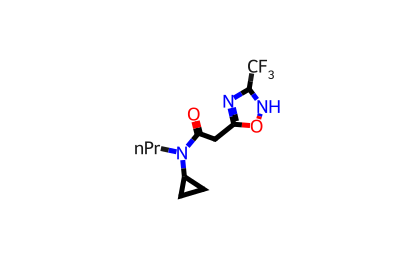 CCCN(C(=O)CC1=NC(C(F)(F)F)NO1)C1CC1